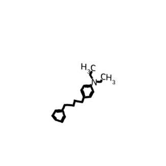 CCN(CC)c1ccc(CCCCc2ccccc2)cc1